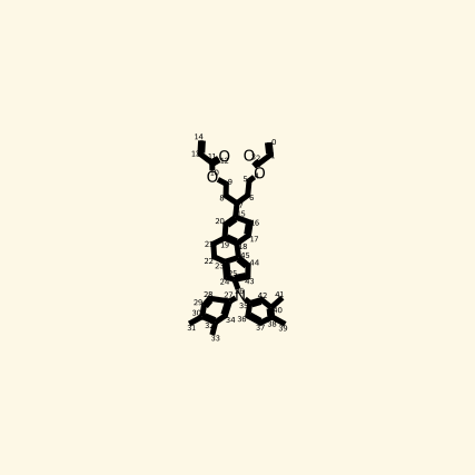 C=CC(=O)OCCC(CCOC(=O)C=C)c1ccc2c(c1)CCc1cc(N(c3ccc(C)c(C)c3)c3ccc(C)c(C)c3)ccc1-2